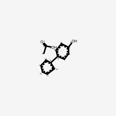 CC(=O)O.Oc1ccc(-c2ccccc2)cc1